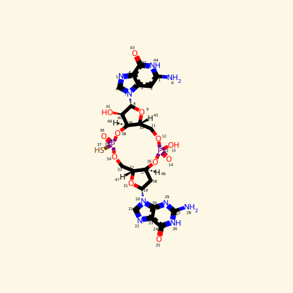 Nc1cc2c(ncn2[C@@H]2O[C@@H]3COP(=O)(O)O[C@H]4C[C@H](n5cnc6c(=O)[nH]c(N)nc65)O[C@@H]4COP(=O)(S)O[C@H]3[C@H]2O)c(=O)[nH]1